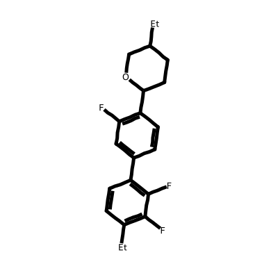 CCc1ccc(-c2ccc(C3CCC(CC)CO3)c(F)c2)c(F)c1F